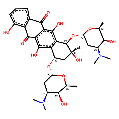 CC[C@@]1(O)C[C@H](O[C@H]2C[C@H](N(C)C)[C@H](O)[C@H](C)O2)c2c(O)c3c(c(O)c2[C@H]1O[C@H]1C[C@H](N(C)C)[C@H](O)[C@H](C)O1)C(=O)c1cccc(O)c1C3=O